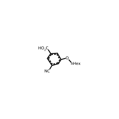 CCCCCCOc1cc(C#N)cc(C(=O)O)c1